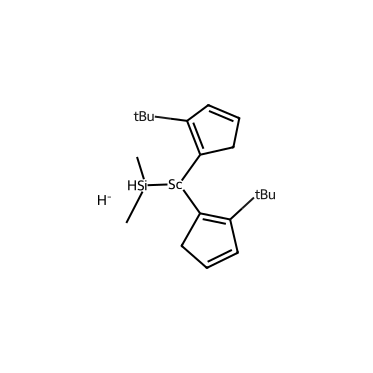 C[SiH](C)[Sc]([C]1=C(C(C)(C)C)C=CC1)[C]1=C(C(C)(C)C)C=CC1.[H-]